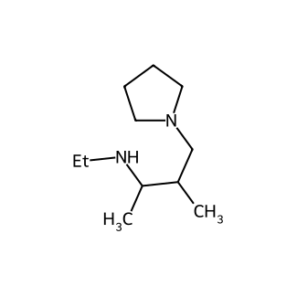 CCNC(C)C(C)CN1CCCC1